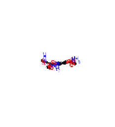 C[n+]1cc(-c2ccc(OCC(ON)C(=O)OC(C)(C)C)cc2)ccc1NC(=O)C(CCCCNC(=O)OC(C)(C)C)NC(=O)OC(C)(C)C.[I-]